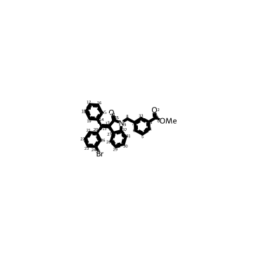 COC(=O)c1cccc(CN2C(=O)/C(=C(\c3ccccc3)c3cccc(Br)c3)c3ccccc32)c1